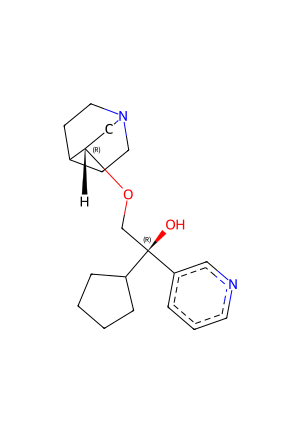 O[C@@](CO[C@H]1CN2CCC1CC2)(c1cccnc1)C1CCCC1